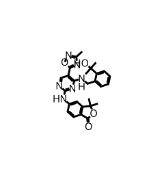 Cc1noc(-c2cnc(Nc3ccc4c(c3)C(C)(C)OC4=O)nc2NCc2ccccc2C(C)(C)O)n1